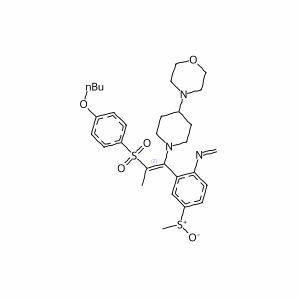 C=Nc1ccc([S+](C)[O-])cc1/C(=C(\C)S(=O)(=O)c1ccc(OCCCC)cc1)N1CCC(N2CCOCC2)CC1